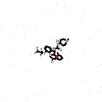 CN1CCC(NC(=O)N[C@](Cc2ccccc2)(c2cccc(OC(F)(F)C(F)F)c2)c2ccc(Cl)cn2)CC1